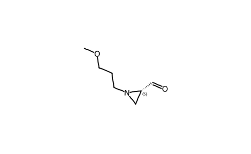 COCCCN1C[C@H]1C=O